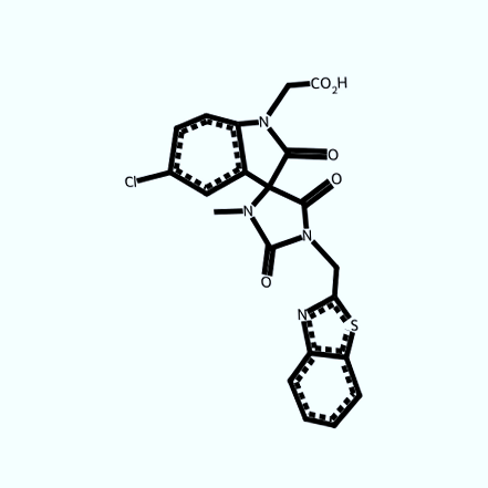 CN1C(=O)N(Cc2nc3ccccc3s2)C(=O)C12C(=O)N(CC(=O)O)c1ccc(Cl)cc12